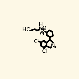 CN1Cc2c(Cl)cc(Cl)cc2C(C2CCCC(S(=O)(=O)NCCCO)C2)C1